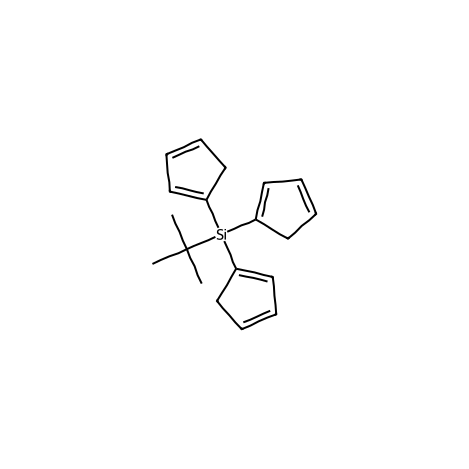 CC(C)(C)[Si](C1=CC=CC1)(C1=CC=CC1)C1=CC=CC1